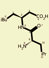 CCC(C)C[C@@H](CC(=O)O)NC(=O)[C@@H](N)CC(C)C